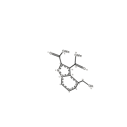 COC(=O)c1nn2cccc(CO)c2c1C(=O)OC